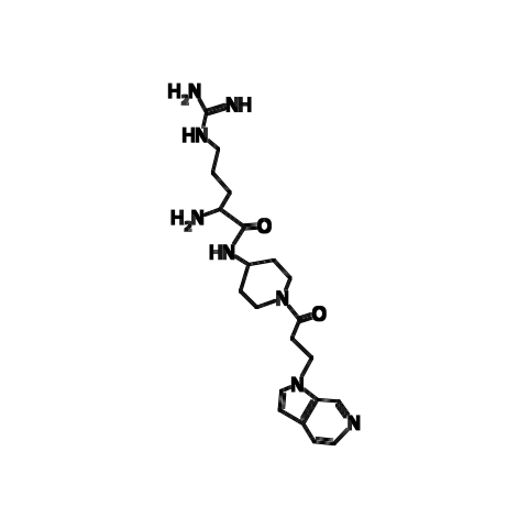 N=C(N)NCCCC(N)C(=O)NC1CCN(C(=O)CCn2ccc3ccncc32)CC1